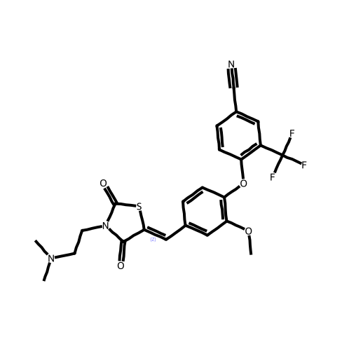 COc1cc(/C=C2\SC(=O)N(CCN(C)C)C2=O)ccc1Oc1ccc(C#N)cc1C(F)(F)F